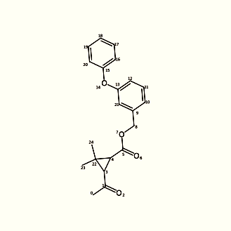 CC(=O)C1C(C(=O)OCc2cccc(Oc3ccccc3)c2)C1(C)C